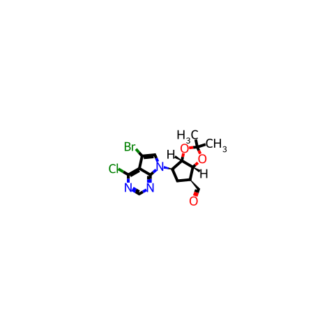 CC1(C)O[C@@H]2[C@H](O1)[C@@H](C=O)C[C@H]2n1cc(Br)c2c(Cl)ncnc21